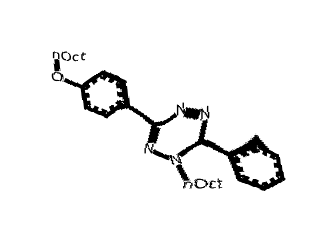 CCCCCCCCOc1ccc(C2=NN(CCCCCCCC)C(c3ccccc3)N=N2)cc1